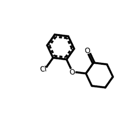 O=C1CCCCC1Oc1ccccc1Cl